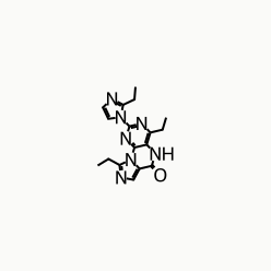 CCc1nc(-n2ccnc2CC)nc2c1[nH]c(=O)c1cnc(CC)n12